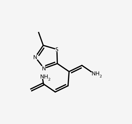 C=C(N)/C=C\C(=C/N)c1nnc(C)s1